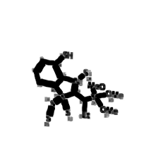 CCC(C1=[N+]([S-])c2c(S)cccc2S1(=S)=S=S)[Si](OC)(OC)OC